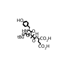 CC(C)(C)OC(=O)N[C@@H](Cc1ccc(O)cc1)C(=O)NC(C)(C)C(=O)N[C@@H](CCC(=O)O)C(=O)O